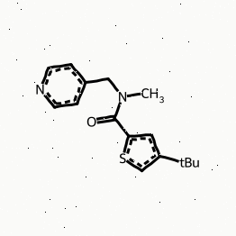 CN(Cc1ccncc1)C(=O)c1cc(C(C)(C)C)cs1